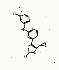 CCc1nc(C2CC2)c(-c2ccnc(Nc3cccc(Cl)c3)n2)s1